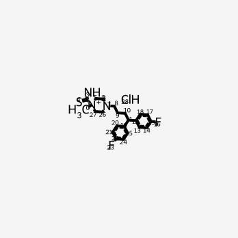 C[N+]1(C(N)=S)CCN(CCCC(c2ccc(F)cc2)c2ccc(F)cc2)CC1.Cl